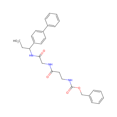 O=C(O)CC(NC(=O)CNC(=O)CCNC(=O)OCc1ccccc1)c1ccc(-c2ccccc2)cc1